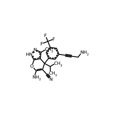 Cc1n[nH]c2c1C(c1cc(C#CCN)cc(C(F)(F)F)c1)(C(C)C)C(C#N)=C(N)O2